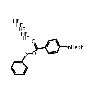 CCCCCCCc1ccc(C(=O)OSc2ccccc2)cc1.F.F.F.F.F